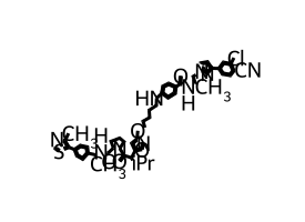 Cc1ncsc1-c1ccc([C@H](C)NC(=O)C2CCCN2C(=O)C(c2cc(OCCCCCNc3ccc(C(=O)N[C@@H](C)Cn4ccc(-c5ccc(C#N)c(Cl)c5)n4)cc3)no2)C(C)C)cc1